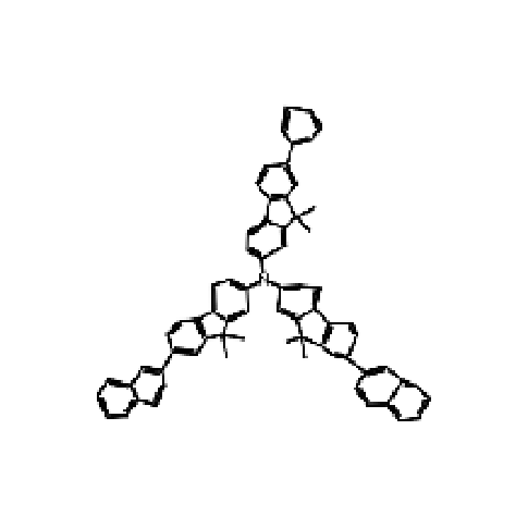 CC1(C)c2cc(-c3ccccc3)ccc2-c2ccc(N(c3ccc4c(c3)C(C)(C)c3cc(-c5ccc6ccccc6c5)ccc3-4)c3ccc4c(c3)C(C)(C)c3cc(-c5ccc6ccccc6c5)ccc3-4)cc21